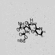 CCCCOC(=O)N1C[C@@]2(C[C@H]1C(N)=O)Oc1cccnc1CNC2=O